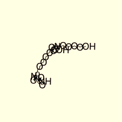 Cn1c(=O)n(C2CCC(=O)NC2=O)c2ccc(CCOCCOCCOCCOCC(=O)OC(C)(C)CN(CCOCCOCCOCCOCCO)C(=O)O)cc21